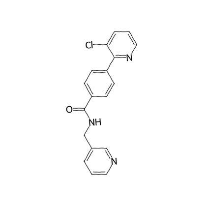 O=C(NCc1cccnc1)c1ccc(-c2ncccc2Cl)cc1